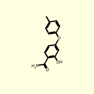 Cc1ccc(Oc2ccc(C(N)=O)c(O)c2)cc1